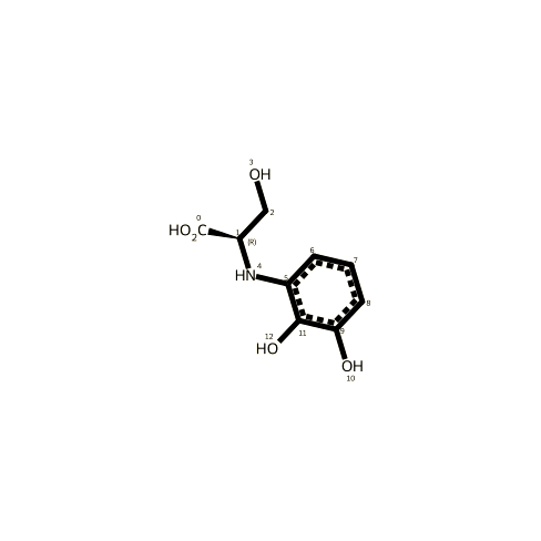 O=C(O)[C@@H](CO)Nc1cccc(O)c1O